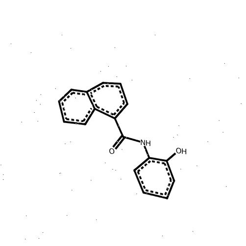 O=C(Nc1ccccc1O)c1cccc2ccccc12